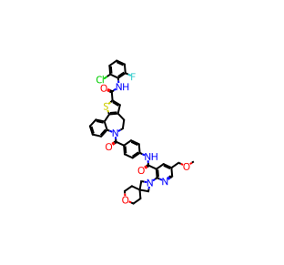 COCc1cnc(N2CC3(CCOCC3)C2)c(C(=O)Nc2ccc(C(=O)N3CCc4cc(C(=O)Nc5c(F)cccc5Cl)sc4-c4ccccc43)cc2)c1